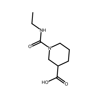 CCNC(=O)N1CCCC(C(=O)O)C1